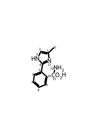 Cc1c[nH]c(-c2ccccc2)n1.NC(=O)O